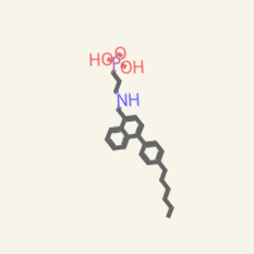 CCCCCCc1ccc(-c2ccc(CNCCCP(=O)(O)O)c3ccccc23)cc1